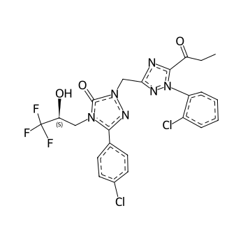 CCC(=O)c1nc(Cn2nc(-c3ccc(Cl)cc3)n(C[C@H](O)C(F)(F)F)c2=O)nn1-c1ccccc1Cl